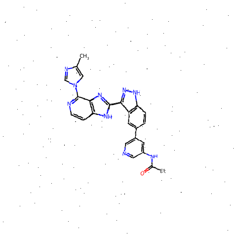 CCC(=O)Nc1cncc(-c2ccc3[nH]nc(-c4nc5c(-n6cnc(C)c6)nccc5[nH]4)c3c2)c1